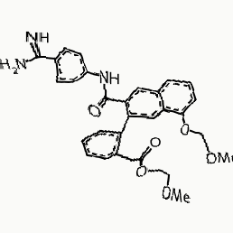 COCOC(=O)c1ccccc1-c1cc2c(OCOC)cccc2cc1C(=O)Nc1ccc(C(=N)N)cc1